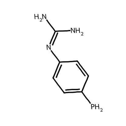 NC(N)=Nc1ccc(P)cc1